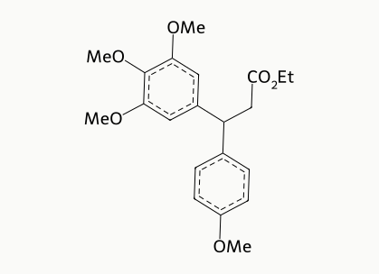 CCOC(=O)CC(c1ccc(OC)cc1)c1cc(OC)c(OC)c(OC)c1